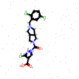 O=C(O)c1cn(C(=O)N2CC3CN(Cc4cc(Cl)ccc4Cl)CC3C2)nc1Cl